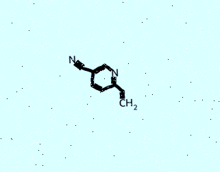 C=Cc1ccc(C#N)cn1